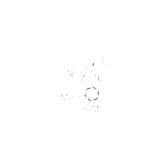 C=CCC(C#N)(C#N)Cc1cccc(OC)c1OC